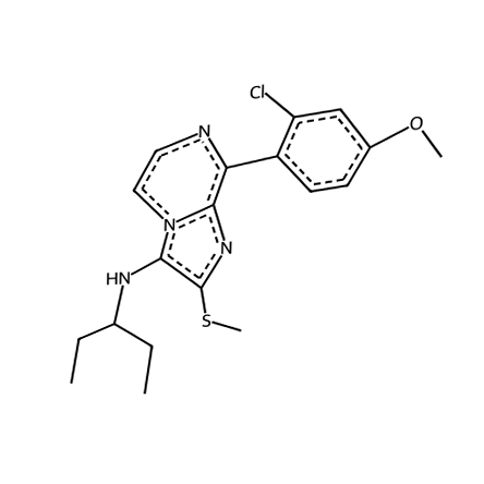 CCC(CC)Nc1c(SC)nc2c(-c3ccc(OC)cc3Cl)nccn12